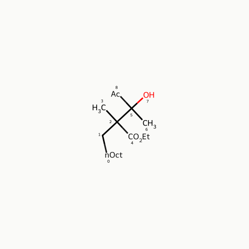 CCCCCCCCCC(C)(C(=O)OCC)C(C)(O)C(C)=O